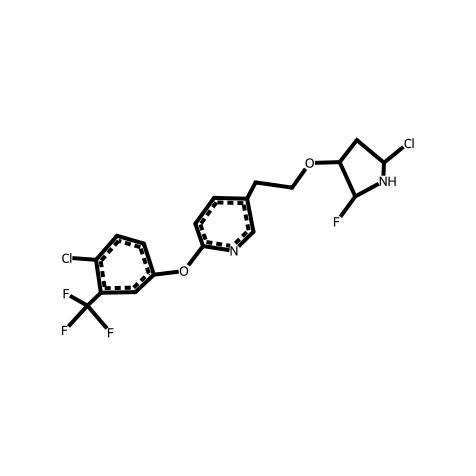 FC1NC(Cl)CC1OCCc1ccc(Oc2ccc(Cl)c(C(F)(F)F)c2)nc1